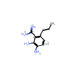 CCCc1ccc(N)c(N)c1C(=N)N.Cl